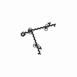 CC(C)CCC(COC(=O)CCCCCCCCCC1(CCCCCCCCCC(=O)OCC(CCC(C)C)C(C)C)OCC(CCN2CCCCC2)O1)C(C)C